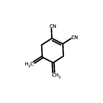 C=C1CC(C#N)=C(C#N)CC1=C